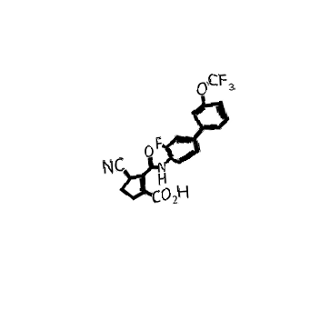 N#CC1CCC(C(=O)O)=C1C(=O)Nc1ccc(-c2cccc(OC(F)(F)F)c2)cc1F